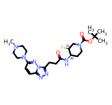 CN1CCN(c2ccc3nnc(CCC(=O)N[C@@H]4CCN(C(=O)OC(C)(C)C)C[C@@H]4F)n3n2)CC1